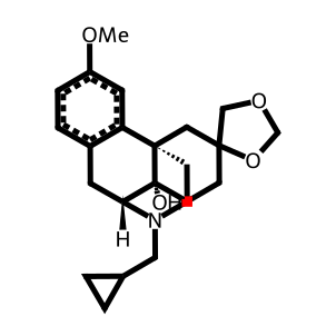 COc1ccc2c(c1)[C@]13CCN(CC4CC4)[C@H](C2)[C@]1(O)CCC1(COCO1)C3